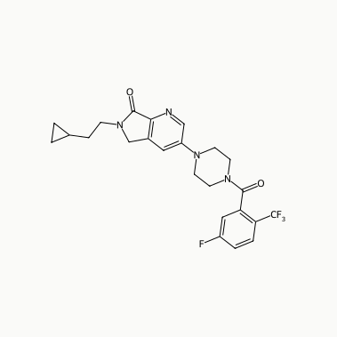 O=C(c1cc(F)ccc1C(F)(F)F)N1CCN(c2cnc3c(c2)CN(CCC2CC2)C3=O)CC1